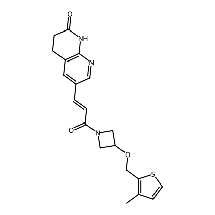 Cc1ccsc1COC1CN(C(=O)/C=C/c2cnc3c(c2)CCC(=O)N3)C1